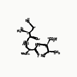 C[C@@H](O)[C@H](NC(=O)[C@@H](NC(=O)[C@@H](N)CS)C(C)(C)C)C(=O)O